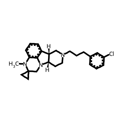 CN1c2cccc3c2N(CC12CC2)[C@H]1CCN(CCCc2cccc(Cl)c2)C[C@@H]31